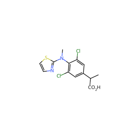 CC(C(=O)O)c1cc(Cl)c(N(C)c2nccs2)c(Cl)c1